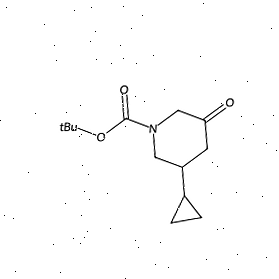 CC(C)(C)OC(=O)N1CC(=O)CC(C2CC2)C1